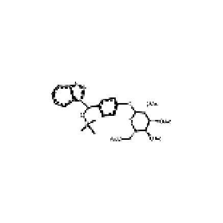 CC(=O)OC[C@H]1O[C@@H](Oc2ccc(C(O[Si](C)(C)C)n3nnc4ccccc43)cc2)[C@H](OC(C)=O)[C@@H](OC(C)=O)[C@H]1OC(C)=O